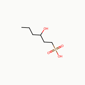 CCCC(O)CCS(=O)(=O)O